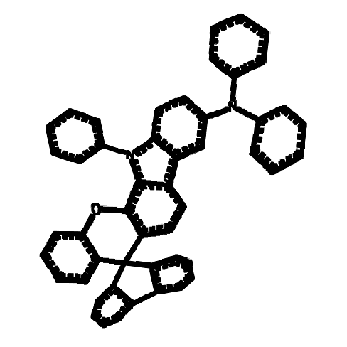 c1ccc(N(c2ccccc2)c2ccc3c(c2)c2ccc4c(c2n3-c2ccccc2)Oc2ccccc2C42c3ccccc3-c3ccccc32)cc1